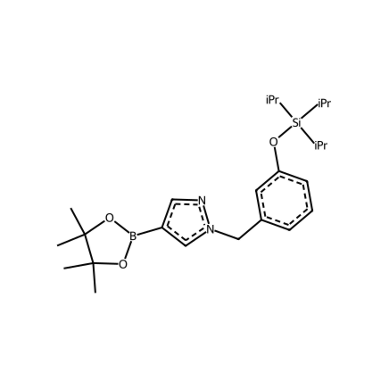 CC(C)[Si](Oc1cccc(Cn2cc(B3OC(C)(C)C(C)(C)O3)cn2)c1)(C(C)C)C(C)C